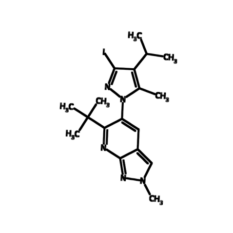 Cc1c(C(C)C)c(I)nn1-c1cc2cn(C)nc2nc1C(C)(C)C